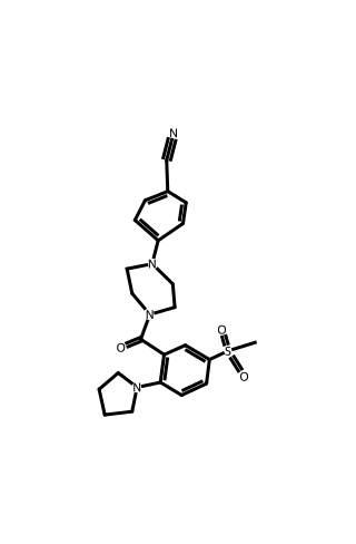 CS(=O)(=O)c1ccc(N2CCCC2)c(C(=O)N2CCN(c3ccc(C#N)cc3)CC2)c1